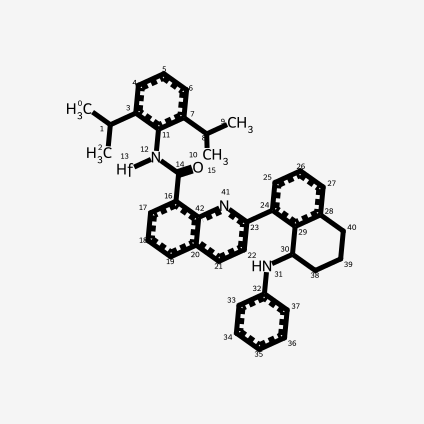 CC(C)c1cccc(C(C)C)c1[N]([Hf])C(=O)c1cccc2ccc(-c3cccc4c3C(Nc3ccccc3)CCC4)nc12